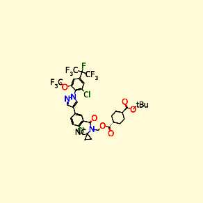 CC(C)(C)OC(=O)[C@H]1CC[C@H](C(=O)OCN(C(=O)c2cc(-c3cnn(-c4c(Cl)cc(C(F)(C(F)(F)F)C(F)(F)F)cc4OC(F)(F)F)c3)ccc2Cl)C2(C#N)CC2)CC1